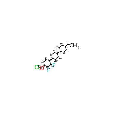 C=CC1CCC(C2CCC(C3CCC(OCl)C(F)C3F)CC2)CC1